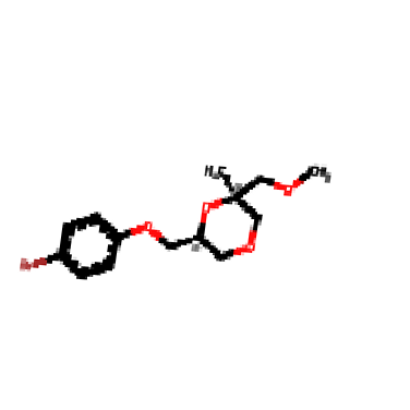 COC[C@@]1(C)COC[C@@H](COc2ccc(Br)cc2)O1